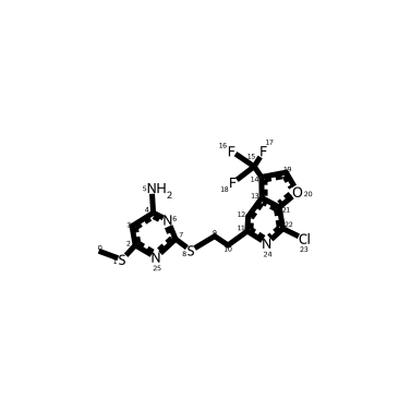 CSc1cc(N)nc(SCCc2cc3c(C(F)(F)F)coc3c(Cl)n2)n1